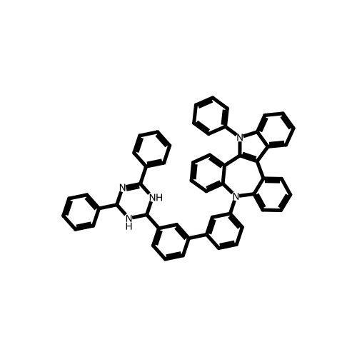 c1ccc(C2=NC(c3ccccc3)NC(c3cccc(-c4cccc(N5c6ccccc6-c6c(n(-c7ccccc7)c7ccccc67)-c6ccccc65)c4)c3)N2)cc1